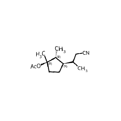 CC(=O)O[C@]1(C)CC[C@H](C(C)CC#N)[C@H]1C